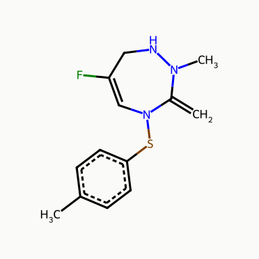 C=C1N(C)NCC(F)=CN1Sc1ccc(C)cc1